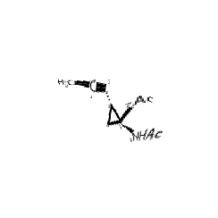 C=C=C[C@H]1C[C@@]1(NC(C)=O)C(C)=O